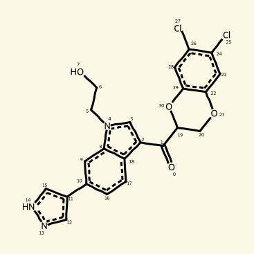 O=C(c1cn(CCO)c2cc(-c3cn[nH]c3)ccc12)C1COc2cc(Cl)c(Cl)cc2O1